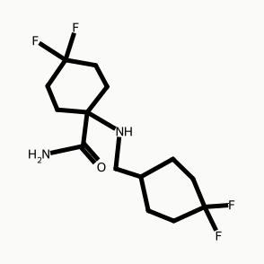 NC(=O)C1(NCC2CCC(F)(F)CC2)CCC(F)(F)CC1